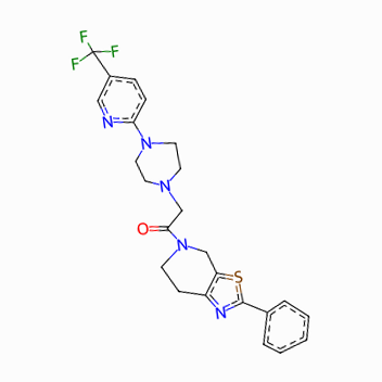 O=C(CN1CCN(c2ccc(C(F)(F)F)cn2)CC1)N1CCc2nc(-c3ccccc3)sc2C1